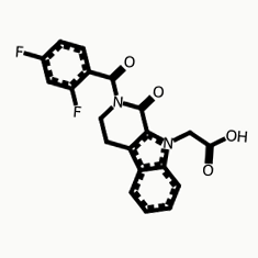 O=C(O)Cn1c2c(c3ccccc31)CCN(C(=O)c1ccc(F)cc1F)C2=O